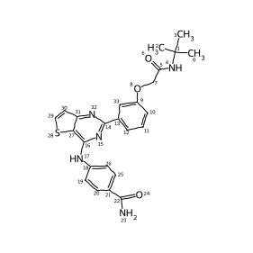 CC(C)(C)NC(=O)COc1cccc(-c2nc(Nc3ccc(C(N)=O)cc3)c3sccc3n2)c1